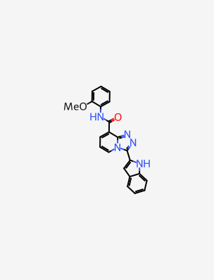 COc1ccccc1NC(=O)c1cccn2c(-c3cc4ccccc4[nH]3)nnc12